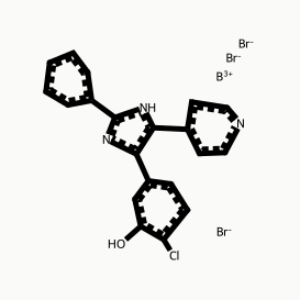 Oc1cc(-c2nc(-c3ccccc3)[nH]c2-c2ccncc2)ccc1Cl.[B+3].[Br-].[Br-].[Br-]